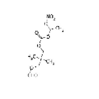 CC(OC(=O)OCC(C)(C)COC=O)O[N+](=O)[O-]